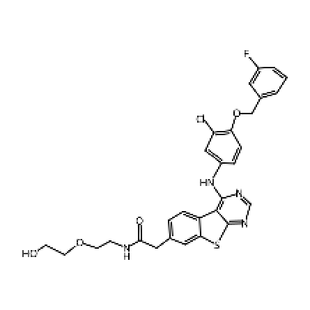 O=C(Cc1ccc2c(c1)sc1ncnc(Nc3ccc(OCc4cccc(F)c4)c(Cl)c3)c12)NCCOCCO